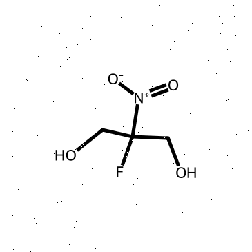 O=[N+]([O-])C(F)(CO)CO